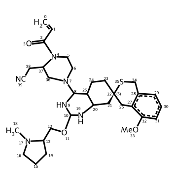 C=CC(=O)N1CCN(C2NC(OCC3CCCN3C)NC3C[C@]4(CCC32)Cc2c(cccc2OC)CS4)CC1CC#N